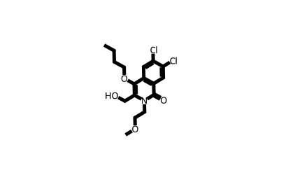 CCCCOc1c(CO)n(CCOC)c(=O)c2cc(Cl)c(Cl)cc12